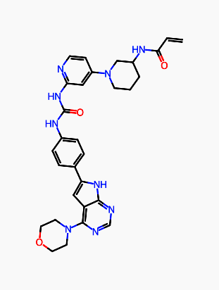 C=CC(=O)NC1CCCN(c2ccnc(NC(=O)Nc3ccc(-c4cc5c(N6CCOCC6)ncnc5[nH]4)cc3)c2)C1